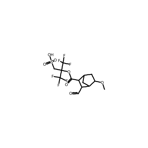 COC1CC2CC1C(C=O)C2C(=O)OC(CS(=O)(=O)O)(C(F)(F)F)C(F)(F)F